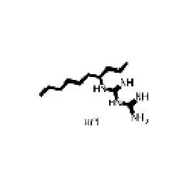 CCCCCCC(CCC)NC(=N)NC(=N)N.Cl